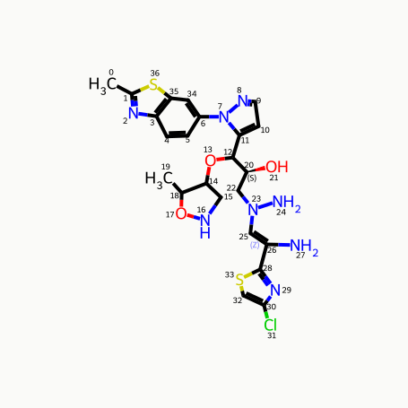 Cc1nc2ccc(-n3nccc3C(OC3CNOC3C)[C@@H](O)CN(N)/C=C(\N)c3nc(Cl)cs3)cc2s1